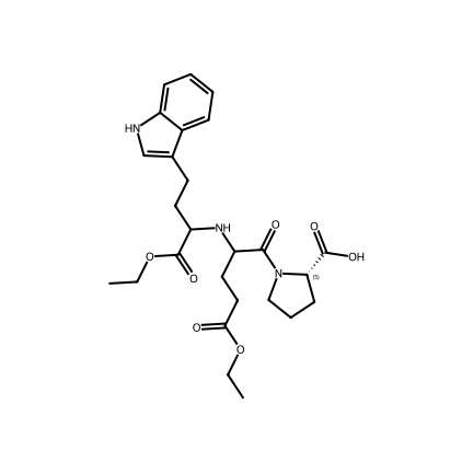 CCOC(=O)CCC(NC(CCc1c[nH]c2ccccc12)C(=O)OCC)C(=O)N1CCC[C@H]1C(=O)O